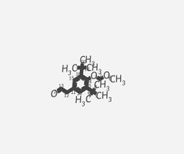 COCOc1c(C(C)(C)C)cc(CC=O)cc1C(C)(C)C